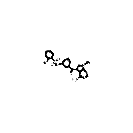 CC(C)n1cc(C(=O)c2cccc(NS(=O)(=O)c3ccccc3C#N)c2)c2c(N)ncnc21